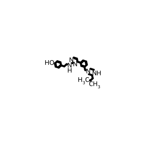 CC(C)CC1CN(Cc2cccc(-c3ccnc(NCCc4ccc(O)cc4)n3)c2)CCN1